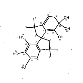 CC1(C)CC2(CC(C)(C)c3cc(O)c(O)c(O)c32)C2=C(O)C(O)(O)CC=C21